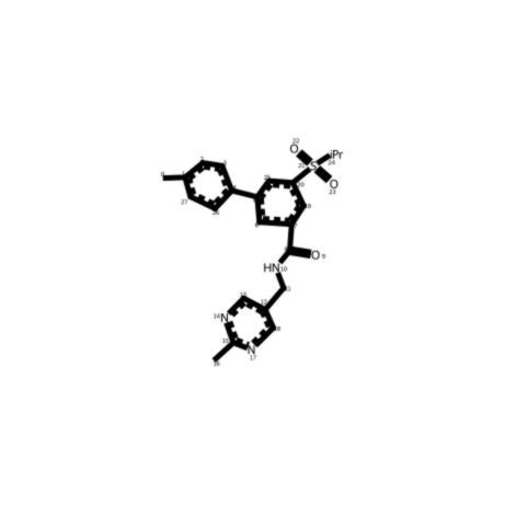 Cc1ccc(-c2cc(C(=O)NCc3cnc(C)nc3)cc(S(=O)(=O)C(C)C)c2)cc1